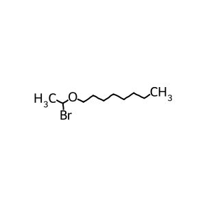 CCCCCCCCOC(C)Br